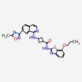 CCCOc1cccc2nc(NC(=O)C3CC(Nc4nccc5ccc(-c6noc(C)n6)cc45)C3)sc12